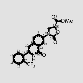 COC(=O)[C@@H]1CN(c2ccc3cc(-c4ccccc4C(F)(F)F)[nH]c(=O)c3c2)C(=O)O1